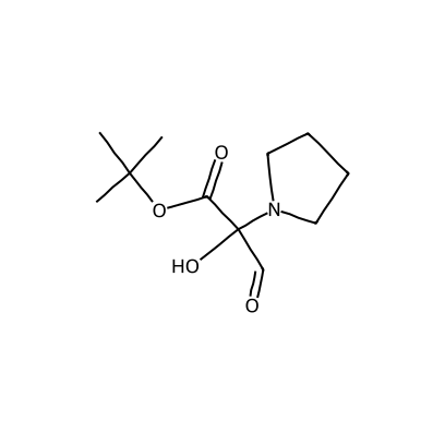 CC(C)(C)OC(=O)C(O)(C=O)N1CCCC1